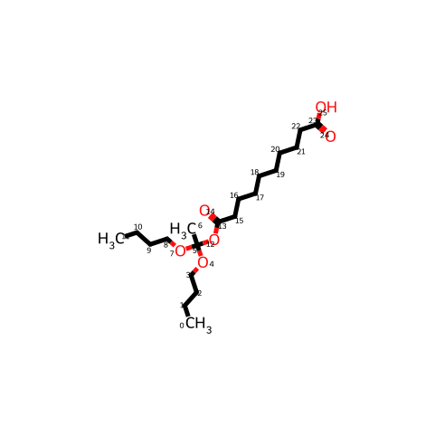 CCCCOC(C)(OCCCC)OC(=O)CCCCCCCCC(=O)O